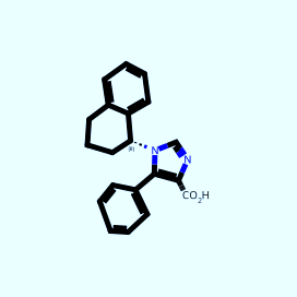 O=C(O)c1ncn([C@@H]2CCCc3ccccc32)c1-c1ccccc1